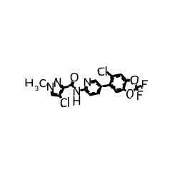 Cn1cc(Cl)c(C(=O)Nc2ccc(-c3cc4c(cc3Cl)OC(F)(F)O4)cn2)n1